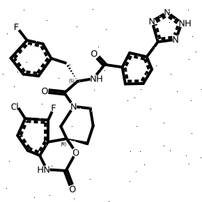 O=C1Nc2ccc(Cl)c(F)c2[C@@]2(CCCN(C(=O)[C@H](Cc3cccc(F)c3)NC(=O)c3cccc(-c4nn[nH]n4)c3)C2)O1